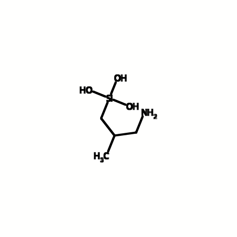 CC(CN)C[Si](O)(O)O